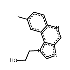 OCCn1cnc2cnc3ccc(I)cc3c21